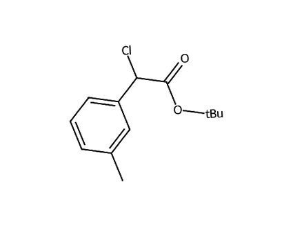 Cc1cccc(C(Cl)C(=O)OC(C)(C)C)c1